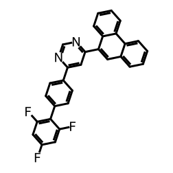 Fc1cc(F)c(-c2ccc(-c3cc(-c4cc5ccccc5c5ccccc45)ncn3)cc2)c(F)c1